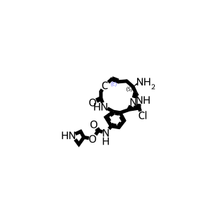 N[C@H]1C/C=C/CCC(=O)Nc2cc(NC(=O)OC3CNC3)ccc2-c2nc1[nH]c2Cl